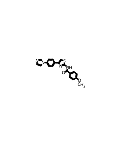 COc1ccc(C(=O)Nc2nc(-c3ccc(-n4ccnc4)cc3)cs2)cc1